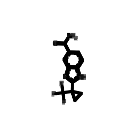 NC(=O)c1ccc2[nH]c(C3(C(F)(F)F)CC3)nc2c1